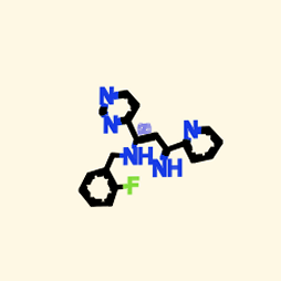 N=C(/C=C(\NCc1ccccc1F)c1ccncn1)c1ccccn1